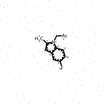 CC(=O)Cn1c(C)cc2cc(F)ccc21